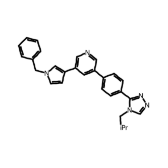 CC(C)Cn1cnnc1-c1ccc(-c2cncc(-c3ccn(Cc4ccccc4)c3)c2)cc1